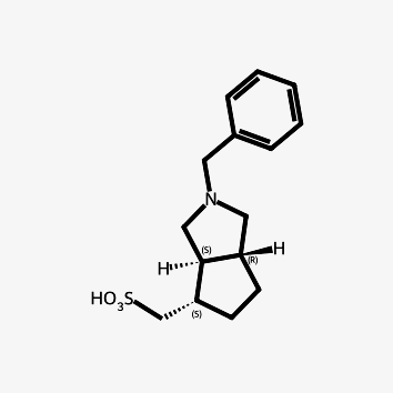 O=S(=O)(O)C[C@H]1CC[C@H]2CN(Cc3ccccc3)C[C@H]12